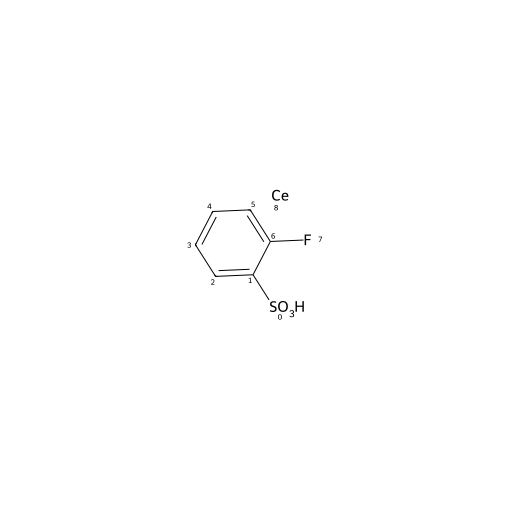 O=S(=O)(O)c1ccccc1F.[Ce]